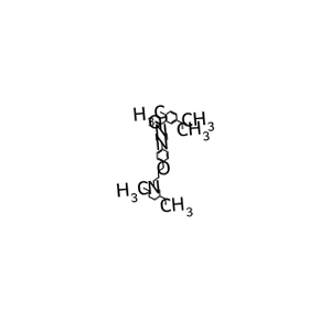 CCC1CCC(C)N(CCCOc2ccc(N3CCN(C(=O)c4cc(C(C)C)ccc4C)CC3)cc2)C1